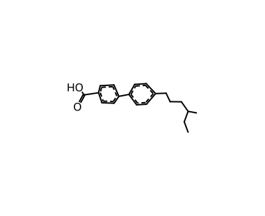 CCC(C)CCCc1ccc(-c2ccc(C(=O)O)cc2)cc1